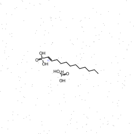 CCCCCCCCCC/C=C/P(=O)(O)O.O=[PH](O)O